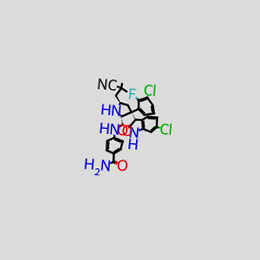 CC(C)(C#N)C[C@H]1C[C@](c2cccc(Cl)c2F)(C2C(=O)Nc3cc(Cl)ccc32)[C@H](C(=O)Nc2ccc(C(N)=O)cc2)N1